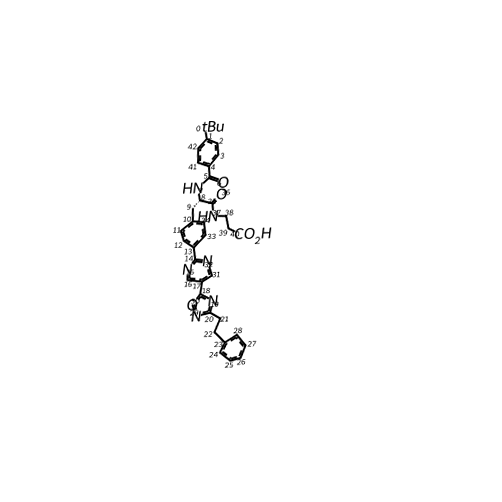 CC(C)(C)c1ccc(C(=O)N[C@@H](Cc2ccc(-c3ncc(-c4nc(CCc5ccccc5)no4)cn3)cc2)C(=O)NCCC(=O)O)cc1